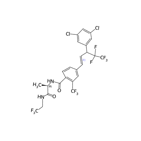 C[C@@H](NC(=O)c1ccc(/C=C/C(c2cc(Cl)cc(Cl)c2)C(F)(F)C(F)(F)F)cc1C(F)(F)F)C(=O)NCC(F)(F)F